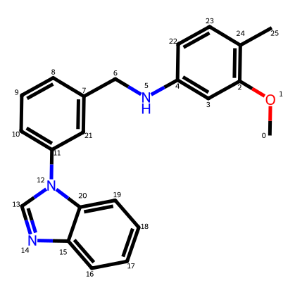 COc1cc(NCc2cccc(-n3cnc4ccccc43)c2)ccc1C